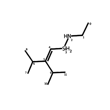 CCN[SiH2]C=C(C(C)C)C(C)C